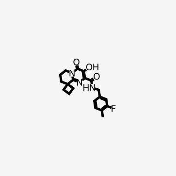 Cc1ccc(CNC(=O)c2nc3n(c(=O)c2O)CCCC32CCC2)cc1F